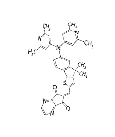 Cc1cc(N(c2cc(C)nc(C)c2)c2ccc3c(c2)C(C)(C)c2cc(C=C4C(=O)c5nccnc5C4=O)sc2-3)cc(C)n1